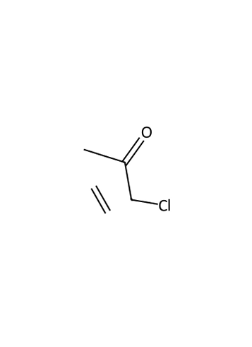 C=C.CC(=O)CCl